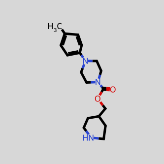 Cc1ccc(N2CCN(C(=O)OCC3CCNCC3)CC2)cc1